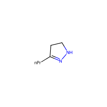 CCCC1=NNCC1